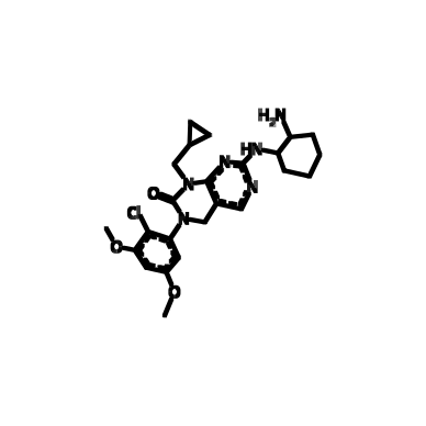 COc1cc(OC)c(Cl)c(N2Cc3cnc(NC4CCCCC4N)nc3N(CC3CC3)C2=O)c1